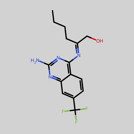 CCCC/C(CO)=N\c1nc(N)nc2cc(C(F)(F)F)ccc12